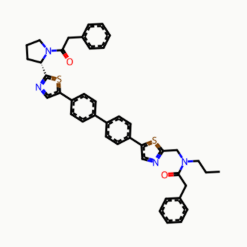 CCCN(Cc1ncc(-c2ccc(-c3ccc(-c4cnc([C@@H]5CCCN5C(=O)Cc5ccccc5)s4)cc3)cc2)s1)C(=O)Cc1ccccc1